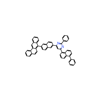 c1ccc(-c2nc(-c3ccc4cc(-c5c6ccccc6cc6c5ccc5ccccc56)ccc4c3)cc(-c3cccc4c(-c5ccccc5)cccc34)n2)cc1